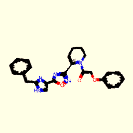 O=C(COc1ccccc1)N1CCCC[C@@H]1c1noc(-c2c[nH]c(Cc3ccccc3)n2)n1